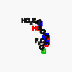 O=C(O)C[C@H]1CCCN(C[C@@H](O)c2ccc(-c3noc(-c4noc(-c5cccc(Cl)c5)c4C(F)(F)F)n3)cc2)C1